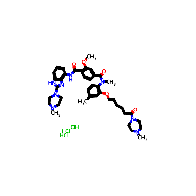 COc1cc(C(=O)N(C)c2ccc(C)cc2OCCCCCC(=O)N2CCN(C)CC2)ccc1C(=O)Nc1cccc2[nH]c(N3CCN(C)CC3)nc12.Cl.Cl.Cl